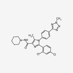 Cc1c(C(=O)NN2CCCCC2)nc(-c2ccc(Cl)cc2Cl)n1-c1ccc(-c2nnn(C)n2)cc1